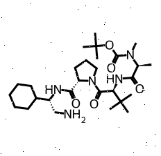 C[C@@H](C(=O)N[C@H](C(=O)N1CCC[C@H]1C(=O)N[C@H](CN)C1CCCCC1)C(C)(C)C)N(C)C(=O)OC(C)(C)C